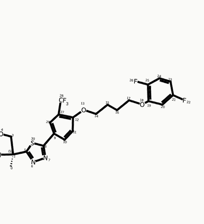 C[C@](N)(CO)c1nnc(-c2ccc(OCCCCOc3cc(F)ccc3F)c(C(F)(F)F)c2)s1